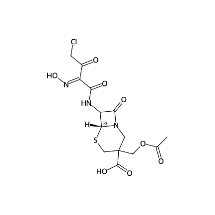 CC(=O)OCC1(C(=O)O)CS[C@@H]2C(NC(=O)C(=NO)C(=O)CCl)C(=O)N2C1